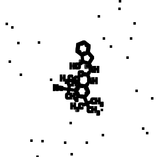 COc1c(NC(=O)N[C@@H]2Cc3ccccc3[C@@H]2O)cc(C(C)(C)C)cc1C(C)(C)C#N